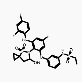 CCS(=O)(=O)Nc1cccc(Oc2cc(F)cc(Nc3ccc(I)cc3F)c2N2C(O)CC3(CC3)S2(=O)=O)c1